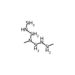 C[SiH2]N[SiH2]N(C)[SiH2]N[SiH3]